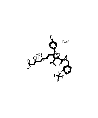 CC(C)c1c(C(=O)N(C)Cc2cccc(OC(F)(F)F)c2)nn(-c2ccc(F)cc2)c1C=C[C@H](O)C[C@@H](O)CC(=O)[O-].[Na+]